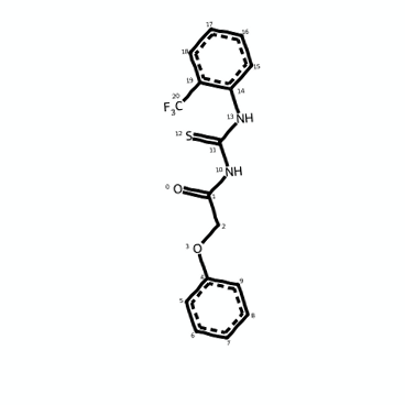 O=C(COc1ccccc1)NC(=S)Nc1ccccc1C(F)(F)F